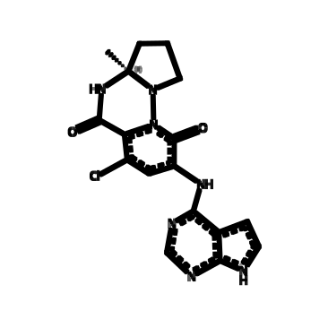 C[C@]12CCCN1n1c(c(Cl)cc(Nc3ncnc4[nH]ccc34)c1=O)C(=O)N2